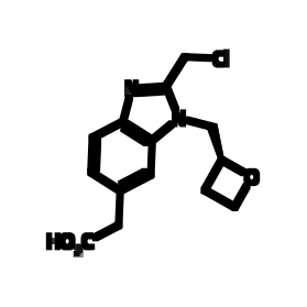 O=C(O)Cc1ccc2nc(CCl)n(C[C@@H]3CCO3)c2c1